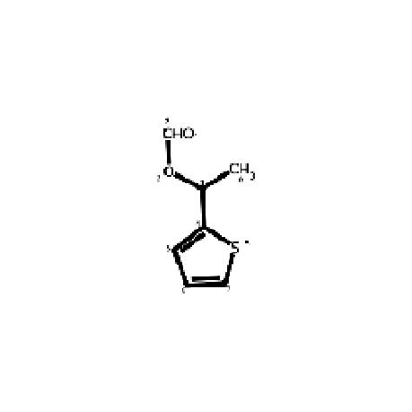 CC(O[C]=O)c1cccs1